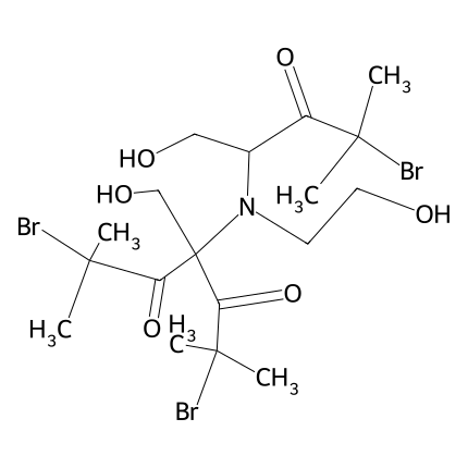 CC(C)(Br)C(=O)C(CO)N(CCO)C(CO)(C(=O)C(C)(C)Br)C(=O)C(C)(C)Br